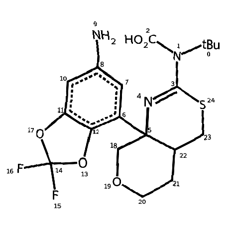 CC(C)(C)N(C(=O)O)C1=NC2(c3cc(N)cc4c3OC(F)(F)O4)COCCC2CS1